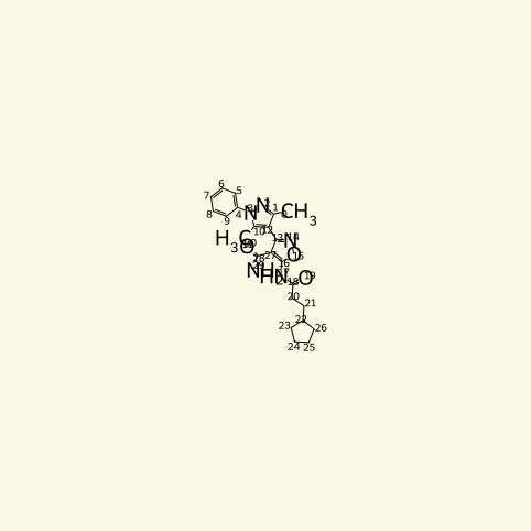 Cc1nn(-c2ccccc2)c(C)c1-c1noc(NC(=O)CCC2CCCC2)c1C(N)=O